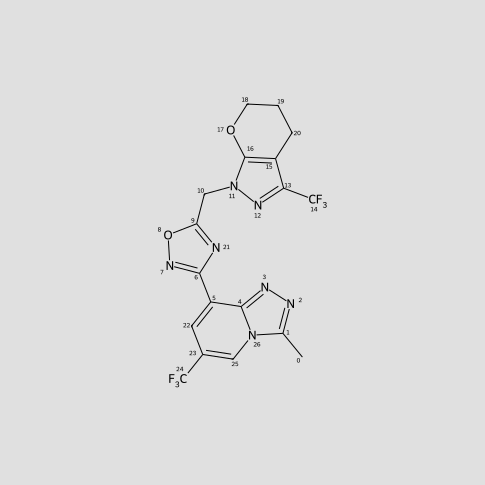 Cc1nnc2c(-c3noc(Cn4nc(C(F)(F)F)c5c4OCCC5)n3)cc(C(F)(F)F)cn12